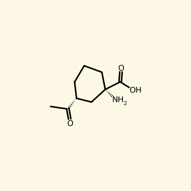 CC(=O)[C@@H]1CCC[C@@](N)(C(=O)O)C1